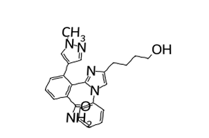 Cn1cc(-c2cccc(C(N)=O)c2-c2nc(CCCCO)cn2-c2ccccc2)cn1